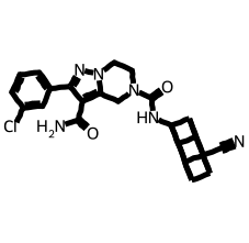 N#CC12C3C4C1C1C2C3C41NC(=O)N1CCn2nc(-c3cccc(Cl)c3)c(C(N)=O)c2C1